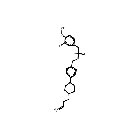 C=CCCC1CCC(c2ccc(COC(F)(F)Cc3ccc(OC(F)(F)F)c(F)c3)cc2)CC1